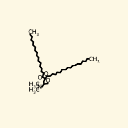 CCCCCCCCCCCCCCCCCC(=O)C1(C(=O)CCCCCCCCCCCCCCCCC)CC(CN(C)C)CO1